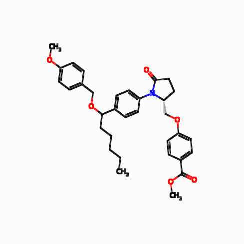 CCCCCC(OCc1ccc(OC)cc1)c1ccc(N2C(=O)CC[C@@H]2COc2ccc(C(=O)OC)cc2)cc1